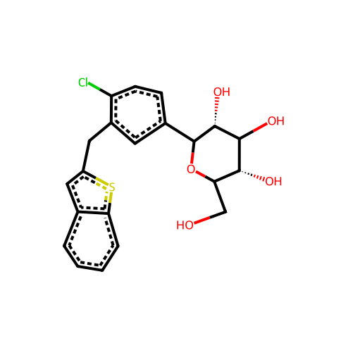 OCC1OC(c2ccc(Cl)c(Cc3cc4ccccc4s3)c2)[C@H](O)C(O)[C@@H]1O